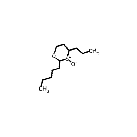 CCCCCC1OCCC(CCC)[S+]1[O-]